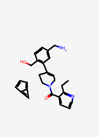 CCc1ncccc1C(=O)N1CC=C(c2cc(CN)ccc2CO)CC1.c1cc2cc-2c1